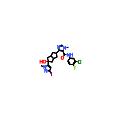 Cn1cnc(C2CC3CC(O)(c4cc(I)nn4C)CC3C2)c1C(=O)Nc1ccc(F)c(Cl)c1